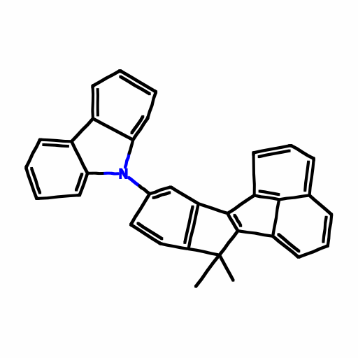 CC1(C)C2=C(c3cc(-n4c5ccccc5c5ccccc54)ccc31)c1cccc3cccc2c13